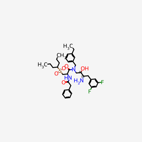 CCCC(CCC)S(=O)(=O)CC(NC(=O)Cc1ccccc1)C(=O)N(Cc1cccc(CC)c1)C[C@@H](O)[C@@H](N)Cc1cc(F)cc(F)c1